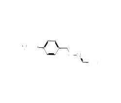 CCCC=NOCc1ccc(OC)cc1